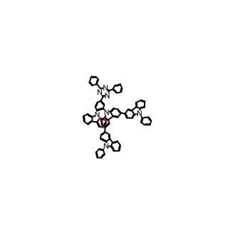 c1ccc(-c2nc(-c3ccccc3)nc(-c3ccc(-n4c5ccccc5c5ccccc54)c(-n4c5ccc(-c6ccc7c(c6)c6ccccc6n7-c6ccccc6)cc5c5cc(-c6ccc7c(c6)c6ccccc6n7-c6ccccc6)ccc54)c3)n2)cc1